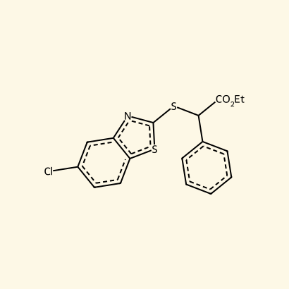 CCOC(=O)C(Sc1nc2cc(Cl)ccc2s1)c1ccccc1